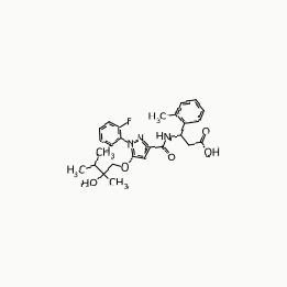 Cc1ccccc1C(CC(=O)O)NC(=O)c1cc(OCC(C)(O)C(C)C)n(-c2ccccc2F)n1